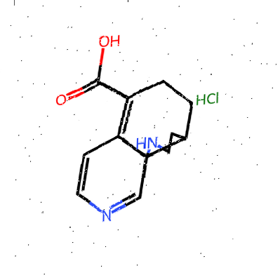 Cl.O=C(O)C1=C2C=CN=CC23NCCC3CC1